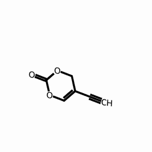 C#CC1=COC(=O)OC1